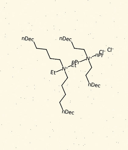 CCCCCCCCCCCCCC[N+](CC)(CC)CCCCCCCCCCCCCC.CCCCCCCCCCCC[N+](CCC)(CCC)CCCCCCCCCCCC.[Cl-].[Cl-]